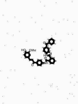 COc1cc(C=CC(=O)c2ccc(NC(=O)c3ccccc3-c3nc4cc(C(=O)c5ccccc5)ccc4[nH]3)cc2)ccc1O